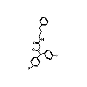 O=C(C[S+]([O-])C(c1ccc(Br)cc1)c1ccc(Br)cc1)NCCCc1ccccc1